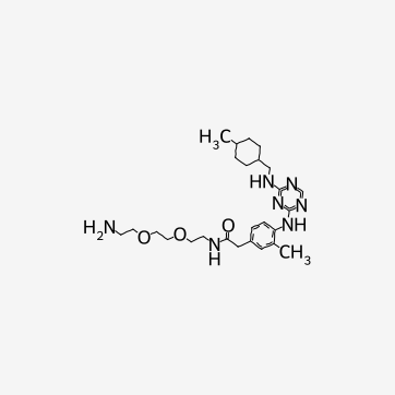 Cc1cc(CC(=O)NCCOCCOCCN)ccc1Nc1ncnc(NCC2CCC(C)CC2)n1